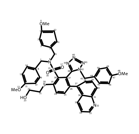 COc1ccc(CN(Cc2ccc(OC)cc2)S(=O)(=O)c2c(SCCO)ccc(-c3cccc4ncccc34)c2-c2nnnn2Cc2ccc(OC)cc2)cc1